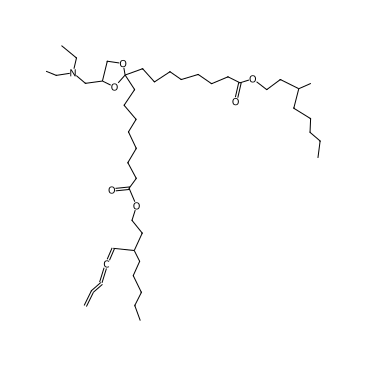 C=C=C=C=CC(CCCCC)CCOC(=O)CCCCCCCC1(CCCCCCCC(=O)OCCC(C)CCCCC)OCC(CN(CC)CC)O1